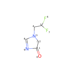 O=C1[C]N(CC(F)F)[C]=N1